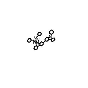 c1ccc(-c2nc(-c3ccccc3)nc(-n3c4ccccc4c4ccc(-c5ccc6c(c5)c5ccccc5n6-c5ccccc5)cc43)n2)cc1